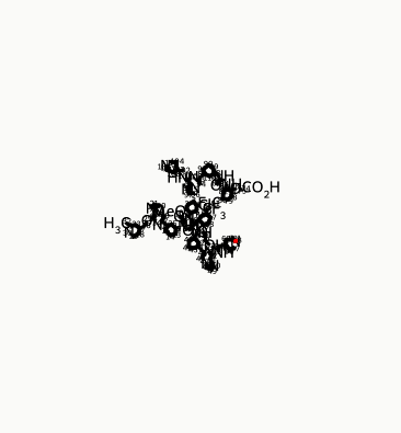 COc1ccc(Cl)cc1N(C(=O)Nc1cccc(-c2cn3ccnc3c(OCc3ccnc(C)c3)n2)c1)N(C(=O)Nc1cccc(-c2cn3ccnc3c(NCc3ccncc3)n2)c1)c1cc(C(F)(F)F)ccc1OCCO.O=C(O)COc1ccc(C(F)(F)F)cc1NC(=O)Nc1cccc(-c2cn3ccnc3c(NCc3ccncc3)n2)c1